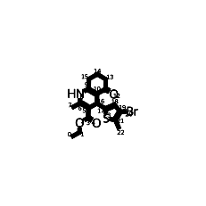 CCOC(=O)C1=C(C)NC2=C(C(=O)CCC2)C1c1cc(Br)c(C)s1